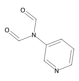 O=CN(C=O)c1cccnc1